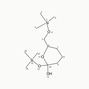 C[Si](C)(C)OCC1CCCC(O)(O[Si](C)(C)C)O1